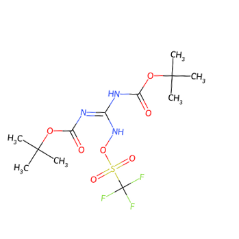 CC(C)(C)OC(=O)/N=C(\NOS(=O)(=O)C(F)(F)F)NC(=O)OC(C)(C)C